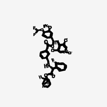 CC(C)Oc1cc([C@H](Cc2c(Cl)c[n+]([O-])cc2Cl)OC(=O)c2cccc(CNC(C(=O)O[C@H]3CN4CCC3CC4)c3ccccc3F)c2)ccc1OC(F)F